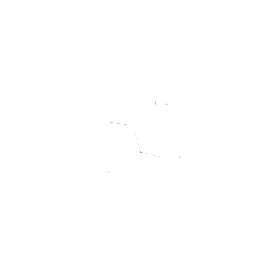 COC(OC)P(O)OC